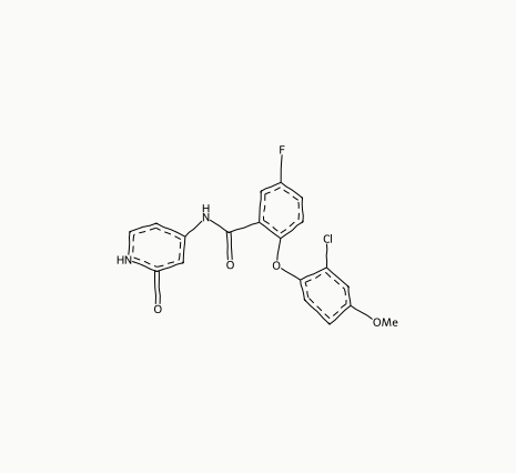 COc1ccc(Oc2ccc(F)cc2C(=O)Nc2cc[nH]c(=O)c2)c(Cl)c1